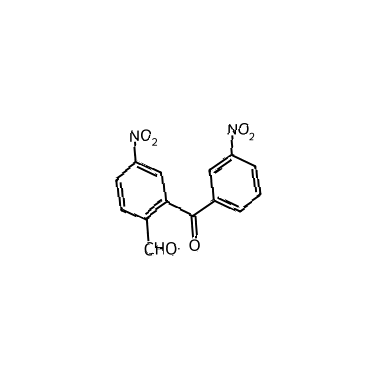 O=[C]c1ccc([N+](=O)[O-])cc1C(=O)c1cccc([N+](=O)[O-])c1